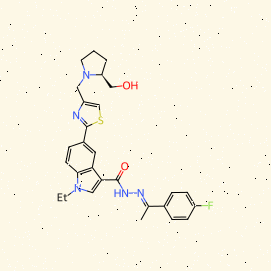 CCn1cc(C(=O)N/N=C(\C)c2ccc(F)cc2)c2cc(-c3nc(CN4CCC[C@H]4CO)cs3)ccc21